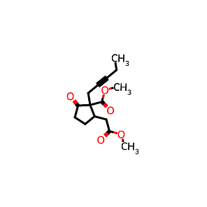 CCC#CCC1(C(=O)OC)C(=O)CCC1CC(=O)OC